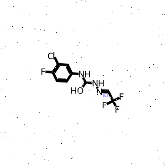 OC(N/N=C/C(F)(F)F)Nc1ccc(F)c(Cl)c1